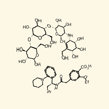 CCOc1cc(CC(=O)N[C@@H](CC(C)C)c2ccccc2N2CCCCC2)ccc1C(=O)O.C[C@H]1O[C@H](O[C@H]2[C@H](O)[C@@H](O)[C@@H](O[C@H]3[C@H](O)[C@@H](O)[C@H](O)O[C@@H]3CO)O[C@@H]2CO)[C@H](O)[C@@H](O)[C@@H]1N[C@H]1C=C(CO)[C@@H](O)[C@H](O)[C@H]1O